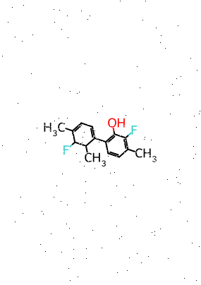 CC1=CC=C(c2ccc(C)c(F)c2O)C(C)C1F